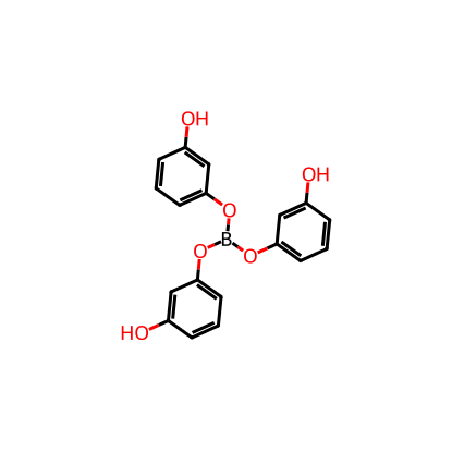 Oc1cccc(OB(Oc2cccc(O)c2)Oc2cccc(O)c2)c1